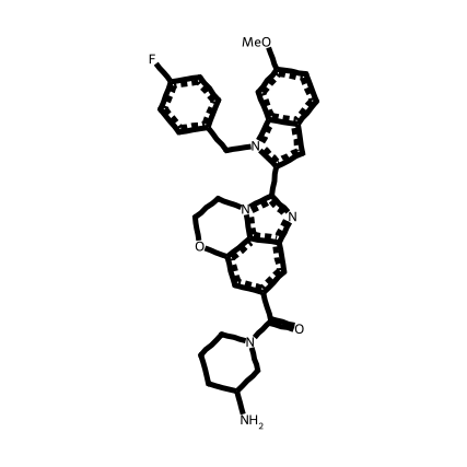 COc1ccc2cc(-c3nc4cc(C(=O)N5CCCC(N)C5)cc5c4n3CCO5)n(Cc3ccc(F)cc3)c2c1